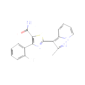 Cc1nn2ccccc2c1-c1nc(-c2ccccc2C(F)(F)F)c(C(N)=O)s1